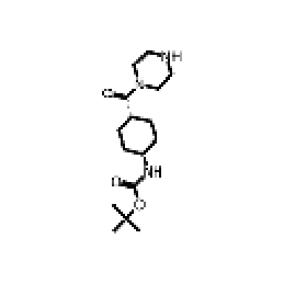 CC(C)(C)OC(=O)N[C@H]1CC[C@H](C(=O)N2CCNCC2)CC1